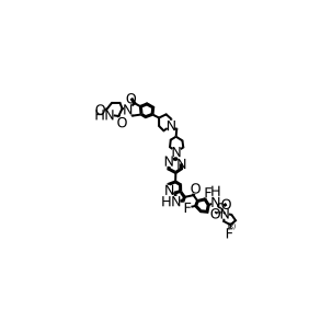 O=C1CCC(N2Cc3cc(C4CCN(CC5CCN(c6ncc(-c7cnc8[nH]cc(C(=O)c9c(F)ccc(NS(=O)(=O)N%10CC[C@@H](F)C%10)c9F)c8c7)cn6)CC5)CC4)ccc3C2=O)C(=O)N1